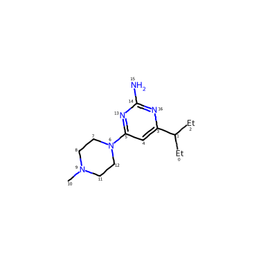 CCC(CC)c1cc(N2CCN(C)CC2)nc(N)n1